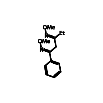 CCC(CC(=NOC)c1ccccc1)=NOC